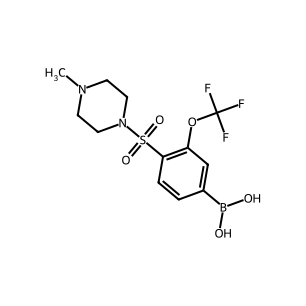 CN1CCN(S(=O)(=O)c2ccc(B(O)O)cc2OC(F)(F)F)CC1